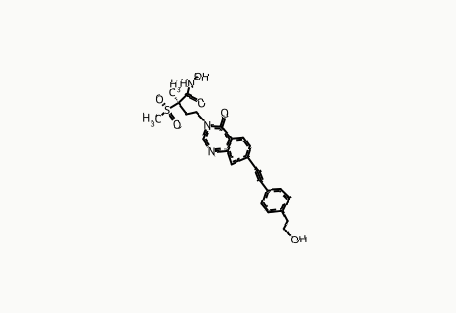 C[C@@](CCn1cnc2cc(C#Cc3ccc(CCO)cc3)ccc2c1=O)(C(=O)NO)S(C)(=O)=O